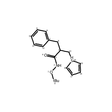 CC(C)(C)ONC(=O)C(Cc1ccccc1)C[SH]1C=CC=C1